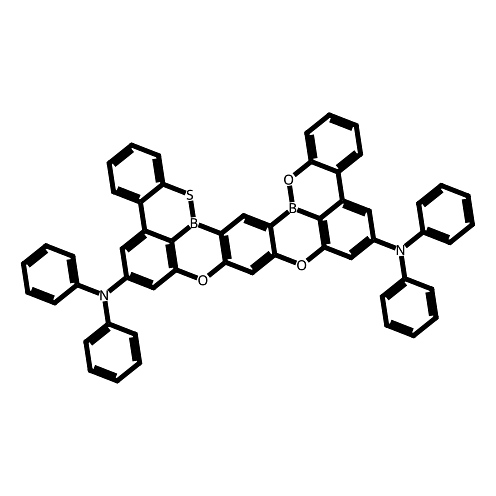 c1ccc(N(c2ccccc2)c2cc3c4c(c2)-c2ccccc2OB4c2cc4c(cc2O3)Oc2cc(N(c3ccccc3)c3ccccc3)cc3c2B4Sc2ccccc2-3)cc1